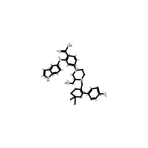 CC1(C)CCC(CN2CCN(c3ccc(C(=O)O)c(Oc4ccc5[nH]ccc5c4)c3)CC2CO)=C(c2ccc(Cl)cc2)C1